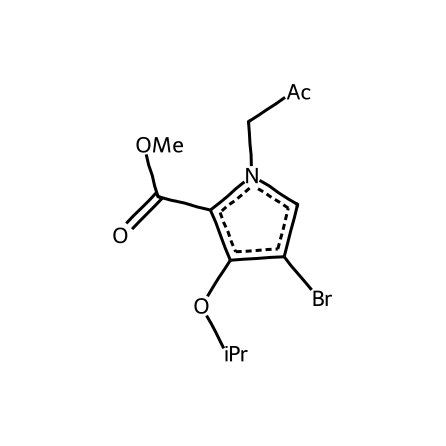 COC(=O)c1c(OC(C)C)c(Br)cn1CC(C)=O